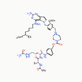 CCCCCC(CC)CCCCCNc1nc(N)nc2ccn(Cc3ccc(CN4CCN(C(=O)OCc5ccc(NC(=O)[C@H](CCCNC(N)=O)NC(=O)[C@@H](NC(=O)CCC)C(C)C)cc5)CC4)cc3OC)c12